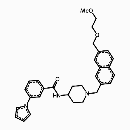 COCCOCc1ccc2ccc(CN3CCC(NC(=O)c4cccc(-n5cccc5)c4)CC3)cc2c1